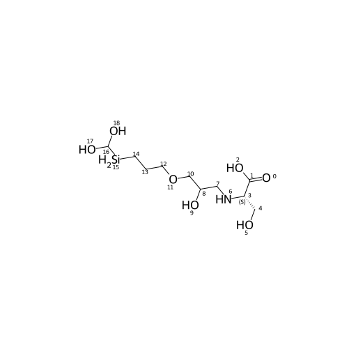 O=C(O)[C@H](CO)NCC(O)COCCC[SiH2]C(O)O